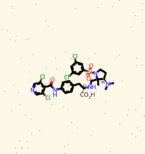 CN(C)[C@@H]1CCN(S(=O)(=O)c2cc(Cl)cc(Cl)c2)C1(C)C(=O)N[C@@H](Cc1ccc(NC(=O)c2c(Cl)cncc2Cl)cc1)C(=O)O